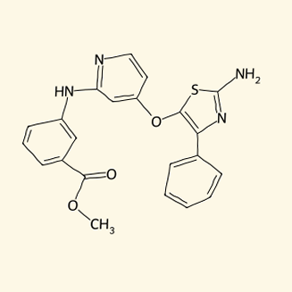 COC(=O)c1cccc(Nc2cc(Oc3sc(N)nc3-c3ccccc3)ccn2)c1